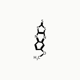 COc1ccc2nc3sc(=S)sc3nc2c1